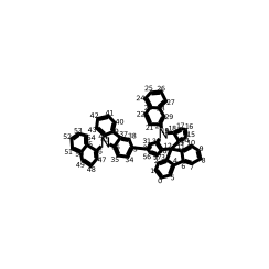 c1ccc2c(c1)-c1ccccc1C21c2ccccc2N(c2ccc3ccccc3c2)c2cc(-c3ccc4c(c3)c3ccccc3n4-c3cccc4ccccc34)ccc21